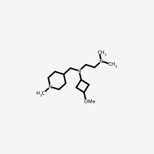 COC1CC(N(CCN(C)C)CC2CCN(C)CC2)C1